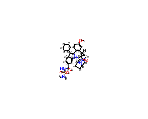 COc1ccc2c(c1)[C@@H]1CC1(C(=O)N1C3CCC1CN(C)C3)Cn1c-2c(C2CCCCC2)c2ccc(C(=O)NS(=O)(=O)N(C)C)cc21